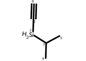 C#C[SiH2]C(C)C